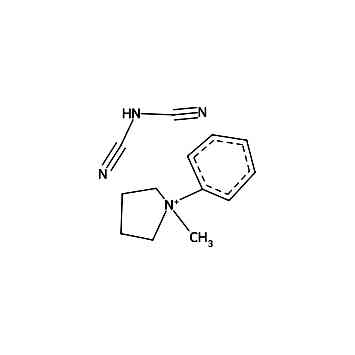 C[N+]1(c2ccccc2)CCCC1.N#CNC#N